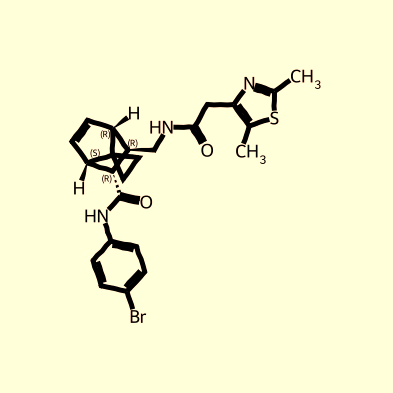 Cc1nc(CC(=O)NC[C@H]2[C@H](C(=O)Nc3ccc(Br)cc3)[C@@H]3C=C[C@H]2C32CC2)c(C)s1